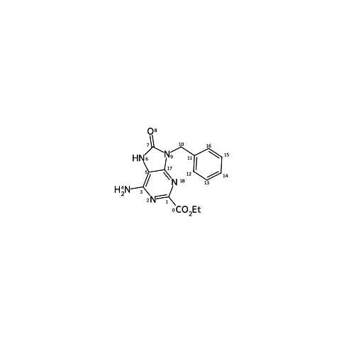 CCOC(=O)c1nc(N)c2[nH]c(=O)n(Cc3ccccc3)c2n1